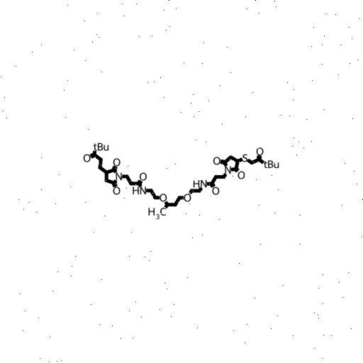 CC(CCOCCNC(=O)CCN1C(=O)CC(SCC(=O)C(C)(C)C)C1=O)OCCNC(=O)CCN1C(=O)CC(CCC(=O)C(C)(C)C)C1=O